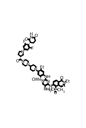 CCc1cc(Nc2ncc(Br)c(Nc3ccc4c(=O)n(CC)ncc4c3P(C)(C)=O)n2)c(OC)cc1N1CCC(N2CCN(C(=O)[C@@H]3CCN(c4cc(F)c([C@H]5CCC(=O)NC5=O)c(F)c4)C3)CC2)CC1